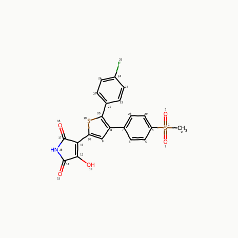 CS(=O)(=O)c1ccc(-c2cc(C3=C(O)C(=O)NC3=O)sc2-c2ccc(F)cc2)cc1